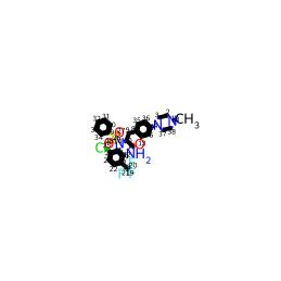 CN1CCN(c2ccc(CC(C(N)=O)N(c3cc(C(F)(F)F)ccc3Cl)S(=O)(=O)c3ccccc3)cc2)CC1